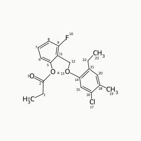 CCC(=O)Oc1cccc(F)c1COc1cc(Cl)c(C)cc1CC